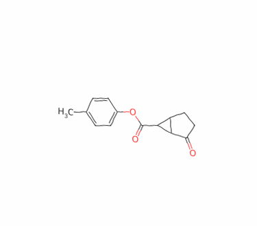 Cc1ccc(OC(=O)C2C3CCC(=O)C32)cc1